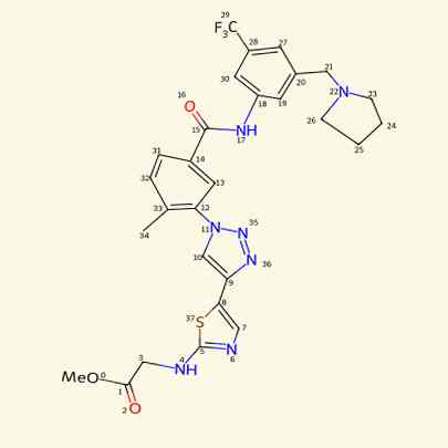 COC(=O)CNc1ncc(-c2cn(-c3cc(C(=O)Nc4cc(CN5CCCC5)cc(C(F)(F)F)c4)ccc3C)nn2)s1